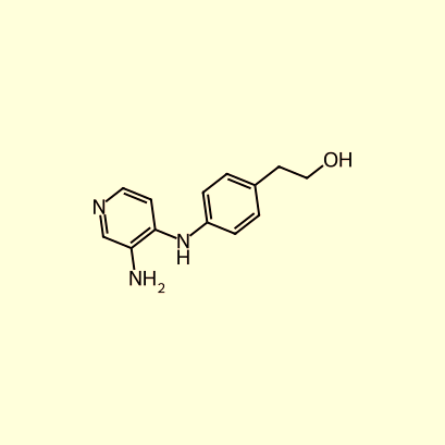 Nc1cnccc1Nc1ccc(CCO)cc1